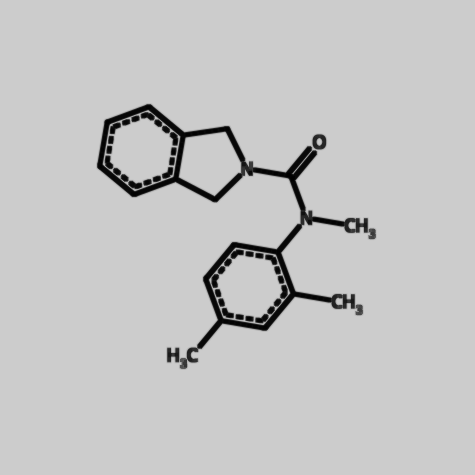 Cc1ccc(N(C)C(=O)N2Cc3ccccc3C2)c(C)c1